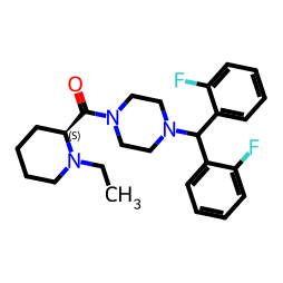 CCN1CCCC[C@H]1C(=O)N1CCN(C(c2ccccc2F)c2ccccc2F)CC1